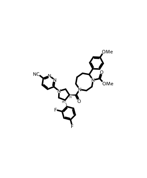 COC(=O)N1CCN(C(=O)[C@@H]2CN(c3ccc(C#N)nn3)C[C@H]2c2ccc(F)cc2F)CCCC1c1ccc(OC)cc1